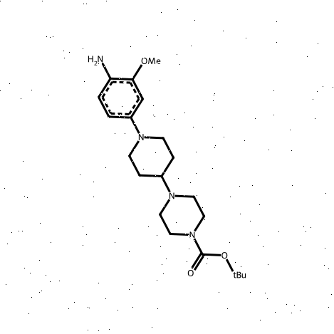 COc1cc(N2CCC(N3CCN(C(=O)OC(C)(C)C)CC3)CC2)ccc1N